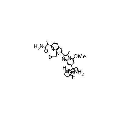 COc1cc(C(=O)N2[C@H]3CC[C@@H]2[C@H](N)C3)cc2nc(-c3cc4ccc(C(C)C(N)=O)nc4n3CC3CC3)c(C)n12